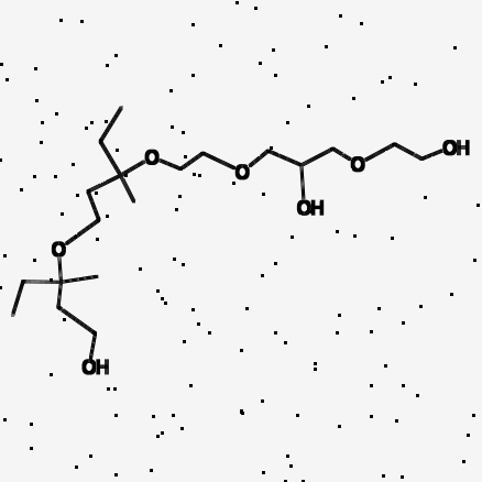 CCC(C)(CCO)OCCC(C)(CC)OCCOCC(O)COCCO